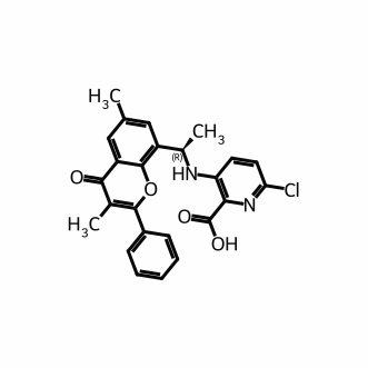 Cc1cc([C@@H](C)Nc2ccc(Cl)nc2C(=O)O)c2oc(-c3ccccc3)c(C)c(=O)c2c1